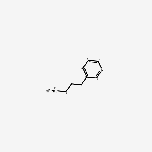 CCCCCCCCc1cccnc1